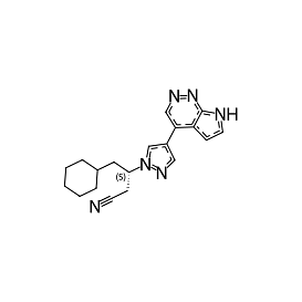 N#CC[C@H](CC1CCCCC1)n1cc(-c2cnnc3[nH]ccc23)cn1